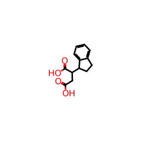 O=C(O)CC(C(=O)O)C1CCc2ccccc21